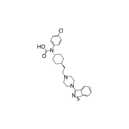 O=C(O)N(c1ccc(Cl)cc1)[C@H]1CC[C@H](CCN2CCN(c3nsc4ccccc34)CC2)CC1